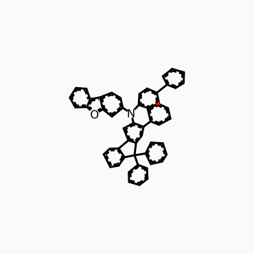 c1ccc(-c2ccc(N(c3ccc4c(c3)oc3ccccc34)c3cc4c(cc3-c3ccccc3)C(c3ccccc3)(c3ccccc3)c3ccccc3-4)cc2)cc1